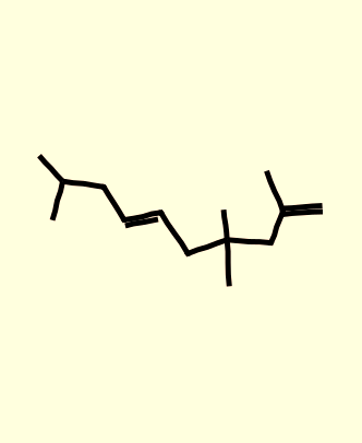 C=C(C)CC(C)(C)CC=CCC(C)C